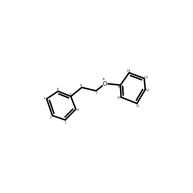 [c]1ccccc1CCOc1ccccc1